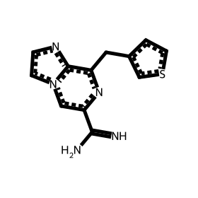 N=C(N)c1cn2ccnc2c(Cc2ccsc2)n1